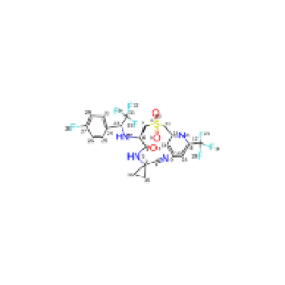 N#CC1(NC(=O)[C@H](CS(=O)(=O)Cc2cccc(C(F)(F)F)n2)NC(c2ccc(F)cc2)C(F)(F)F)CC1